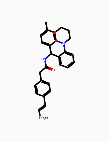 CCOC(=O)/C=C/c1ccc(CC(=O)NC(c2ccc(C)cc2)c2ccccc2N2CCCCC2)cc1